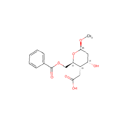 CO[C@H]1C[C@H](O)[C@H](CC(=O)O)[C@@H](COC(=O)c2ccccc2)O1